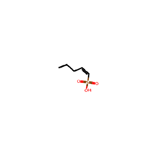 CCC/C=C\S(=O)(=O)O